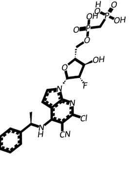 C[C@@H](Nc1c(C#N)c(Cl)nc2c1ccn2[C@@H]1O[C@H](COP(=O)(O)CP(=O)(O)O)[C@@H](O)[C@@H]1F)c1ccc(C#N)cc1